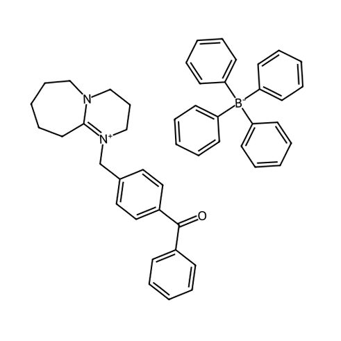 O=C(c1ccccc1)c1ccc(C[N+]2=C3CCCCCN3CCC2)cc1.c1ccc([B-](c2ccccc2)(c2ccccc2)c2ccccc2)cc1